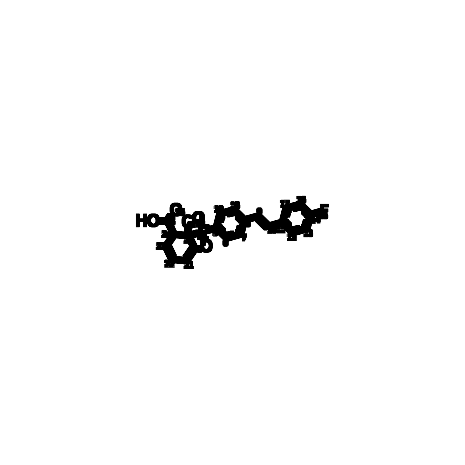 CC1(S(=O)(=O)c2ccc(/C=C/c3ccc(F)cc3)cc2)C=CC=CC1C(=O)O